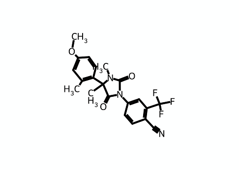 COc1ccc(C2(C)C(=O)N(c3ccc(C#N)c(C(F)(F)F)c3)C(=O)N2C)c(C)c1